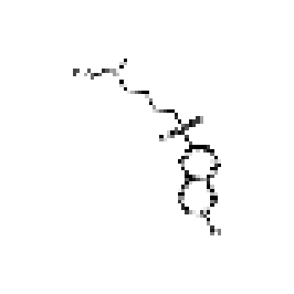 CN(CCCCS(=O)(=O)c1ccc2cc(Cl)ccc2c1)C(=O)O